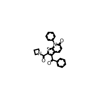 O=C(c1ccccc1)c1c(C(=O)N2CCC2)sc2c1ccc(=O)n2-c1ccccc1